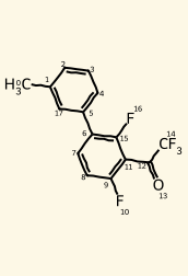 Cc1cccc(-c2ccc(F)c(C(=O)C(F)(F)F)c2F)c1